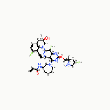 C#Cc1c(F)ccc2c1N(c1ncc3c(N4CCCCC(NC(=O)C=C)C4)nc(OC[C@]4(C)C[C@@H](F)CN4C)nc3c1F)C[C@](C)(O)C2